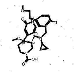 COCCc1ccc(Cl)c(CN(C(=O)[C@H]2CN(C(=O)O)CC[C@]2(OC)c2cc[nH]c(=O)c2)C2CC2)c1